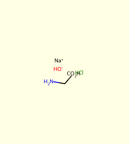 Cl.NCC(=O)O.[Na+].[OH-]